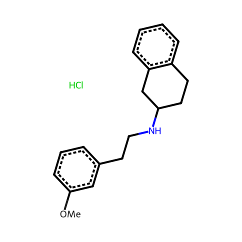 COc1cccc(CCNC2CCc3ccccc3C2)c1.Cl